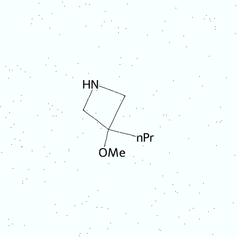 CCCC1(OC)CNC1